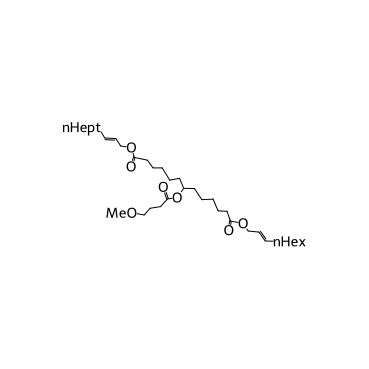 CCCCCC/C=C/COC(=O)CCCCCC(CCCCCC(=O)OC/C=C/CCCCCCC)OC(=O)CCCOC